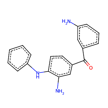 Nc1cccc(C(=O)c2ccc(Nc3ccccc3)c(N)c2)c1